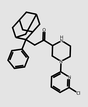 O=C(CC1(c2ccccc2)C2CC3CC(C2)CC1C3)C1CN(c2cccc(Cl)n2)CCN1